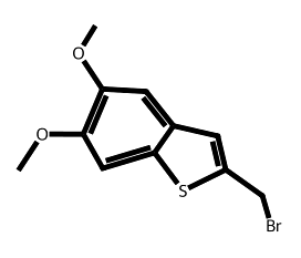 COc1cc2cc(CBr)sc2cc1OC